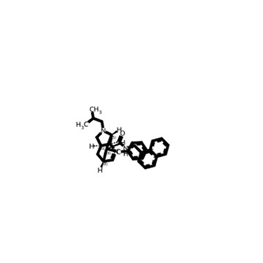 CC(C)CN1C[C@@H]2C[C@H]3C=N[C@]2(C(=O)NCc2cccc4ccccc24)[C@@H]1[C@@H]3Cc1ccccc1